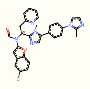 Cc1nccn1-c1ccc(-c2cnc([C@H](Cc3ccccn3)N(C=O)c3cc4cc(Cl)ccc4o3)n2C)cc1